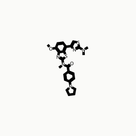 COc1ccc(-c2csc(N(C)C)n2)c2sc(N(C)C(=O)c3ccc(N4CCCC4)cc3)nc12